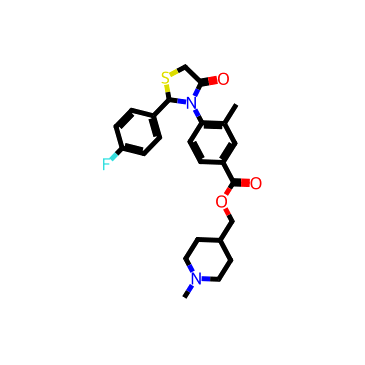 Cc1cc(C(=O)OCC2CCN(C)CC2)ccc1N1C(=O)CSC1c1ccc(F)cc1